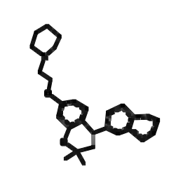 CC1(C)CC(c2ccc3ccccc3c2)c2ccc(OCCN3CCCCC3)cc2O1